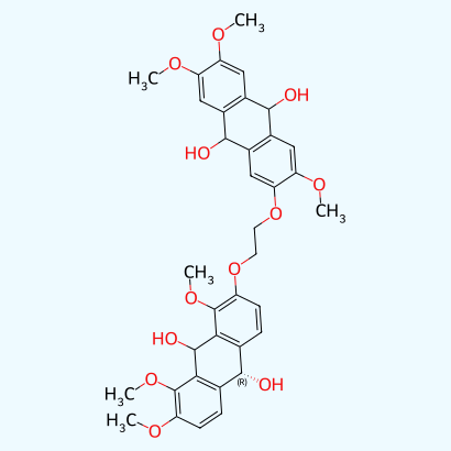 COc1cc2c(cc1OC)C(O)c1cc(OCCOc3ccc4c(c3OC)C(O)c3c(ccc(OC)c3OC)[C@H]4O)c(OC)cc1C2O